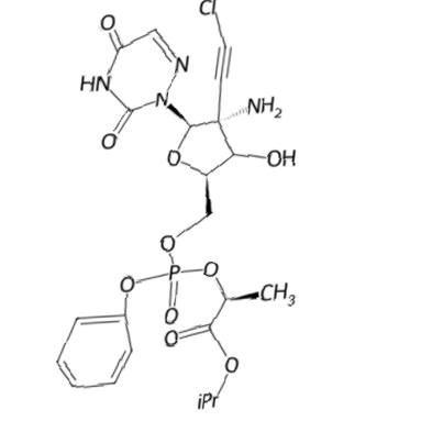 CC(C)OC(=O)[C@H](C)OP(=O)(OC[C@H]1O[C@@H](n2ncc(=O)[nH]c2=O)[C@@](N)(C#CCl)C1O)Oc1ccccc1